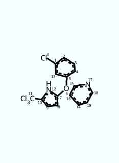 Clc1cccc(Oc2ccc(C(Cl)(Cl)Cl)[nH]2)c1.c1ccncc1